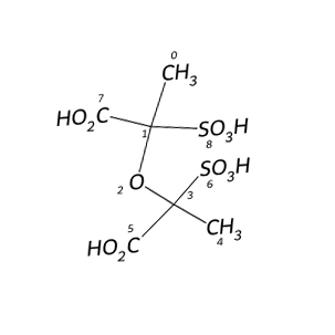 CC(OC(C)(C(=O)O)S(=O)(=O)O)(C(=O)O)S(=O)(=O)O